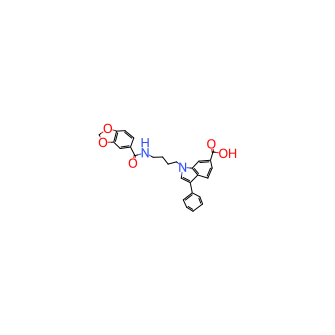 O=C(O)c1ccc2c(-c3ccccc3)cn(CCCCNC(=O)c3ccc4c(c3)OCO4)c2c1